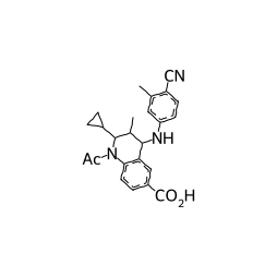 CC(=O)N1c2ccc(C(=O)O)cc2C(Nc2ccc(C#N)c(C)c2)C(C)C1C1CC1